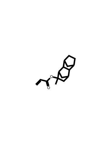 C=CC(=O)OC1(C)CC2CC1C1C3CCC(C3)C21